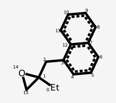 CCC1(Cc2cccc3ccccc23)CO1